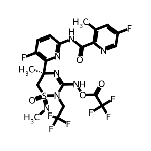 CN=S1(=O)C[C@@](C)(c2nc(NC(=O)c3ncc(F)cc3C)ccc2F)N=C(NOC(=O)C(F)(F)F)N1CC(F)(F)F